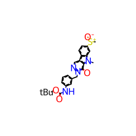 Cn1c2cc([S+](C)[O-])ccc2c2cnn(Cc3cccc(NC(=O)OC(C)(C)C)c3)c(=O)c21